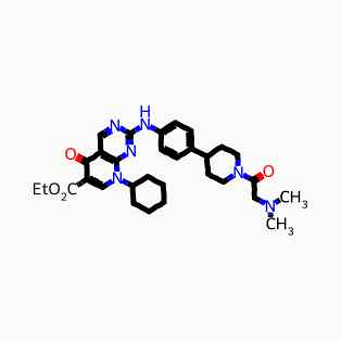 CCOC(=O)c1cn(C2CCCCC2)c2nc(Nc3ccc(C4CCN(C(=O)CN(C)C)CC4)cc3)ncc2c1=O